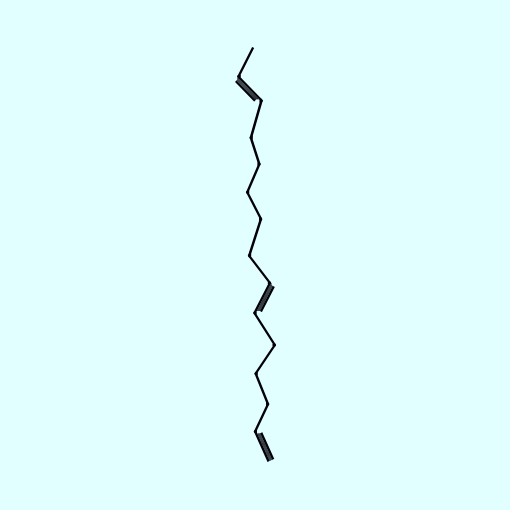 [CH]=CCCCC=CCCCCCC=CC